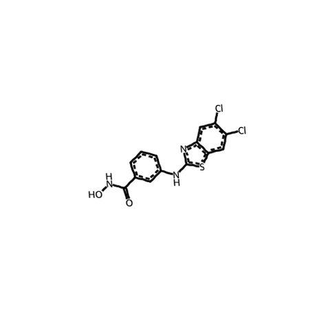 O=C(NO)c1cccc(Nc2nc3cc(Cl)c(Cl)cc3s2)c1